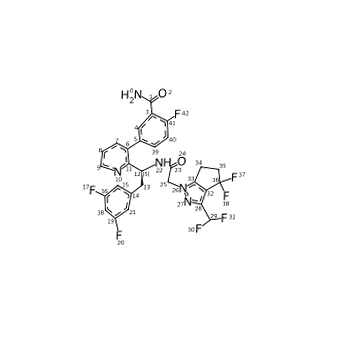 NC(=O)c1cc(-c2cccnc2[C@H](Cc2cc(F)cc(F)c2)NC(=O)Cn2nc(C(F)F)c3c2CCC3(F)F)ccc1F